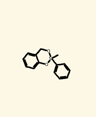 C[Si]1(c2ccccc2)OCc2ccccc2O1